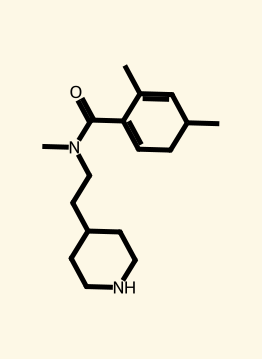 CC1=CC(C)CC=C1C(=O)N(C)CCC1CCNCC1